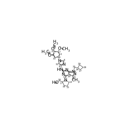 COc1cc(-n2cnc(Nc3nc(N4CCCC4CO)c4c(C)nn(CC5CCC5)c4n3)c2)cc(OC)c1OC